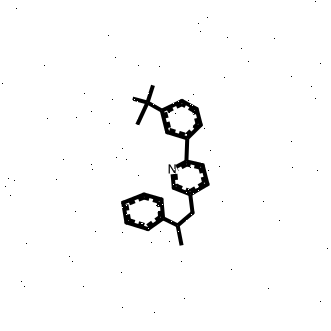 CC(Cc1ccc(-c2cccc(C(C)(C)C)c2)nc1)c1ccccc1